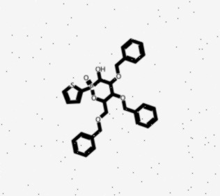 O=P1(c2cccs2)OC(COCc2ccccc2)C(OCc2ccccc2)C(OCc2ccccc2)C1O